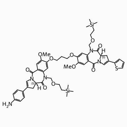 COc1cc2c(cc1OCCCOc1cc3c(cc1OC)C(=O)N1C=C(c4cccs4)C[C@H]1C(=O)N3COCC[Si](C)(C)C)N(COCC[Si](C)(C)C)C(=O)[C@@H]1CC(c3ccc(N)cc3)=CN1C2=O